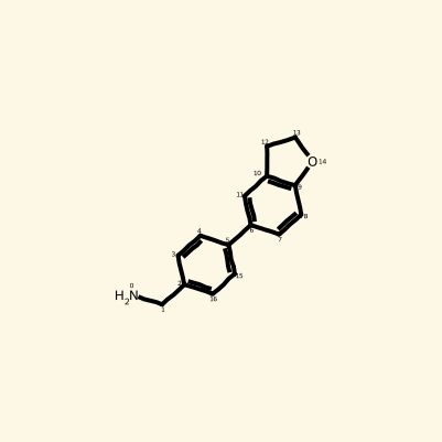 NCc1ccc(-c2c[c]c3c(c2)CCO3)cc1